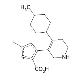 CC1CCC(C2=C(c3cc(I)sc3C(=O)O)CNCC2)CC1